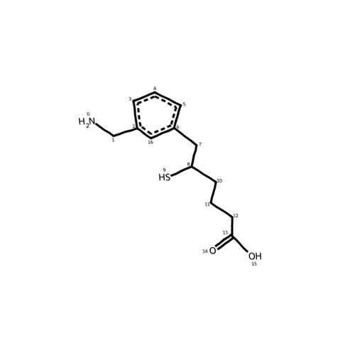 NCc1cccc(CC(S)CCCC(=O)O)c1